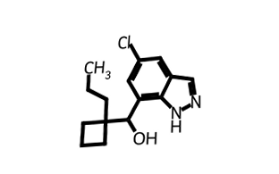 CCCC1(C(O)c2cc(Cl)cc3cn[nH]c23)CCC1